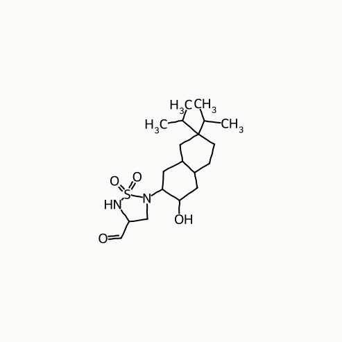 CC(C)C1(C(C)C)CCC2CC(O)C(N3CC(C=O)NS3(=O)=O)CC2C1